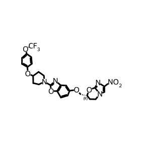 O=[N+]([O-])c1cn2c(n1)O[C@@H](COc1ccc3oc(N4CCC(Oc5ccc(OC(F)(F)F)cc5)CC4)nc3c1)CC2